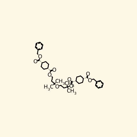 CC(C)(CCOC(=O)[C@H]1CC[C@@H](C(=O)OCc2ccccc2)CC1)OCCC(C)(C)OC(=O)[C@H]1CC[C@@H](C(=O)OCc2ccccc2)CC1